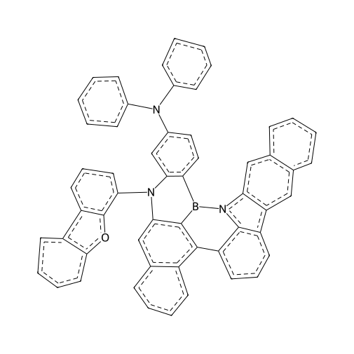 c1ccc(N(c2ccccc2)c2ccc3c(c2)N(c2cccc4c2oc2ccccc24)c2cc4ccccc4c4c2B3n2c3cc5ccccc5cc3c3cccc-4c32)cc1